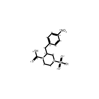 CCS(=O)(=O)N1CCN(C(=S)S)C(Cc2ccc([N+](=O)[O-])cc2)C1